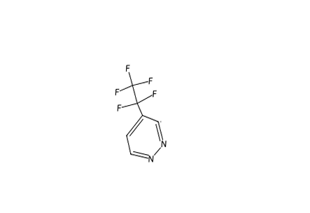 FC(F)(F)C(F)(F)c1[c]nncc1